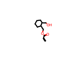 C=CC(=O)OCC1CCCCC1CO